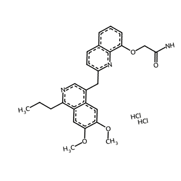 CCCc1ncc(Cc2ccc3cccc(OCC(N)=O)c3n2)c2cc(OC)c(OC)cc12.Cl.Cl